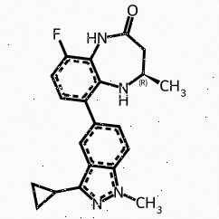 C[C@@H]1CC(=O)Nc2c(F)ccc(-c3ccc4c(c3)c(C3CC3)nn4C)c2N1